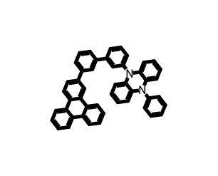 c1ccc(N2c3ccccc3N(c3cccc(-c4cccc(-c5ccc6c7ccccc7c7ccccc7c6c5)c4)c3)c3ccccc32)cc1